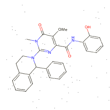 COc1c(C(=O)Nc2ccccc2O)nc(N2CCc3ccccc3C2c2ccccc2)n(C)c1=O